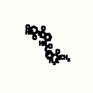 CN(C)C(=O)c1ccc[n+](CC(=O)Nc2cccc3c2CN(C2CCC(=O)NC2=O)C3=O)c1